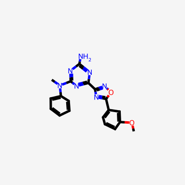 COc1cccc(-c2nc(-c3nc(N)nc(N(C)c4ccccc4)n3)no2)c1